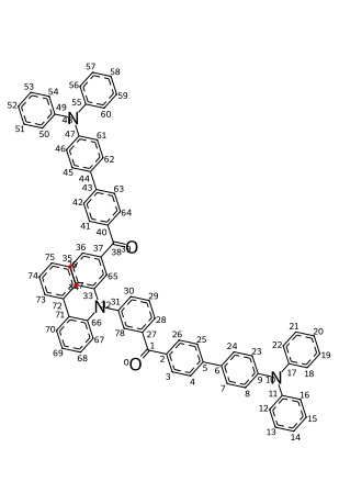 O=C(c1ccc(-c2ccc(N(c3ccccc3)c3ccccc3)cc2)cc1)c1cccc(N(c2cccc(C(=O)c3ccc(-c4ccc(N(c5ccccc5)c5ccccc5)cc4)cc3)c2)c2ccccc2-c2ccccc2)c1